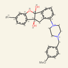 COc1ccc(CN2CCN(c3cccc4c3C[C@]3(O)c5ccc(C(C)C)cc5OC43O)CC2)cc1